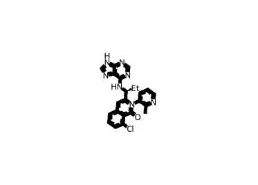 CC[C@H](Nc1ncnc2[nH]cnc12)c1cc2cccc(Cl)c2c(=O)n1-c1cccnc1C